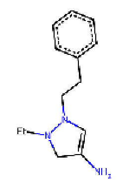 CCN1CC(N)=CN1CCc1ccccc1